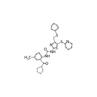 Cc1ccc(NC(=O)Nc2nc(CSc3ccccc3)c(Sc3ccccn3)s2)c(C(=O)C2CCCC2)c1